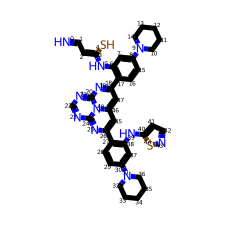 N=C/C=C(\S)Nc1cc(N2CCCCC2)ccc1C1=NC2=NC=NC3=NC(c4ccc(N5CCCCC5)cc4Nc4ccns4)=CC(=C1)N23